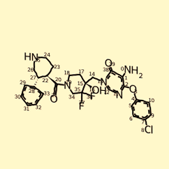 Nc1c(Oc2ccc(Cl)cc2)ncn(C[C@@]2(O)CCN(C(=O)[C@@H]3CCNC[C@H]3c3ccccc3)CC2(F)F)c1=O